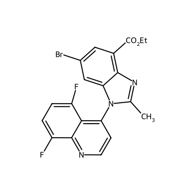 CCOC(=O)c1cc(Br)cc2c1nc(C)n2-c1ccnc2c(F)ccc(F)c12